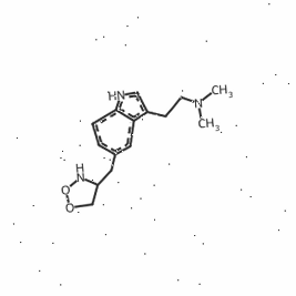 CN(C)CCc1c[nH]c2ccc(CC3COON3)cc12